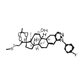 CSSCC(=O)[C@@]1(OC(C)=O)CC[C@H]2[C@@H]3CCC4=Cc5c(cnn5-c5ccc(F)cc5)C[C@]4(C)[C@H]3[C@@H](O)C[C@@]21C